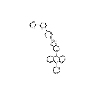 c1ccc(-c2c3ccccc3c(-c3ccc4nn(-c5ccc(-c6cccc(-c7ccccn7)n6)cc5)nc4c3)c3ccccc23)cc1